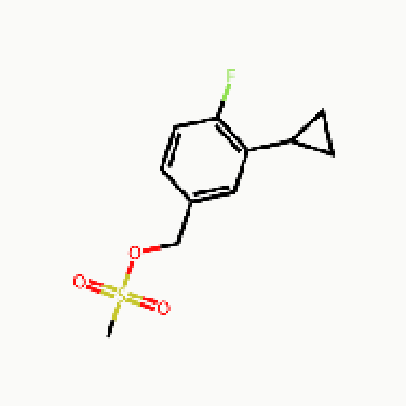 CS(=O)(=O)OCc1ccc(F)c(C2CC2)c1